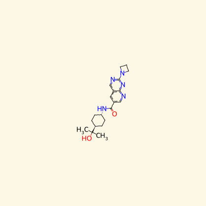 CC(C)(O)[C@H]1CC[C@H](NC(=O)c2cnc3nc(N4CCC4)ncc3c2)CC1